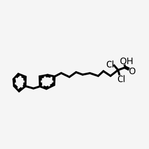 O=C(O)C(Cl)(Cl)CCCCCCCCc1ccc(Cc2ccccc2)cc1